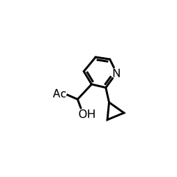 CC(=O)C(O)c1cccnc1C1CC1